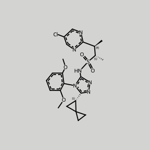 COc1cccc(OC)c1-n1c(NS(=O)(=O)[C@@H](C)[C@H](C)c2ncc(Cl)cn2)nnc1[C@H]1CC12CC2